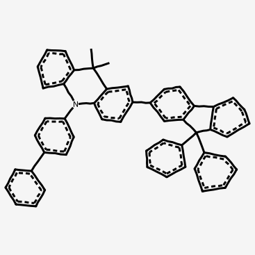 CC1(C)c2ccccc2N(c2ccc(-c3ccccc3)cc2)c2ccc(-c3ccc4c(c3)C(c3ccccc3)(c3ccccc3)c3ccccc3-4)cc21